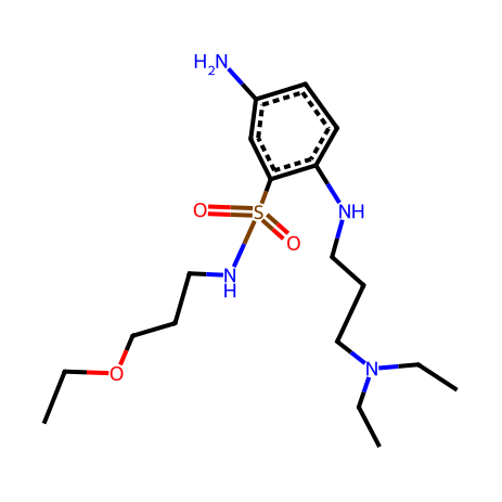 CCOCCCNS(=O)(=O)c1cc(N)ccc1NCCCN(CC)CC